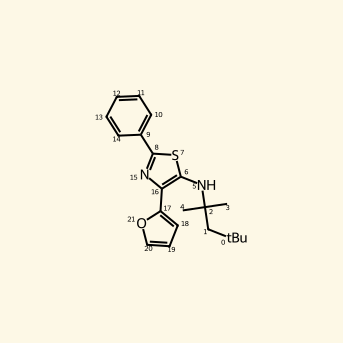 CC(C)(C)CC(C)(C)Nc1sc(-c2ccccc2)nc1-c1ccco1